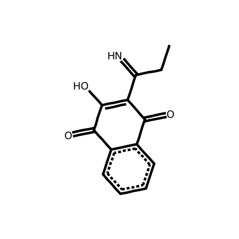 CCC(=N)C1=C(O)C(=O)c2ccccc2C1=O